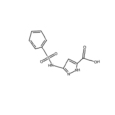 O=C(O)c1cc(NS(=O)(=O)c2ccccc2)n[nH]1